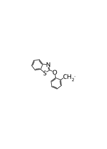 [CH2]c1ccccc1Oc1nc2ccccc2s1